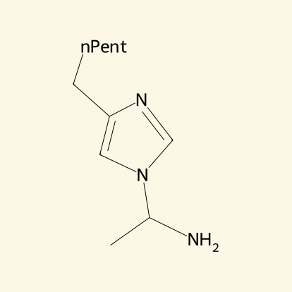 CCCCCCc1cn(C(C)N)cn1